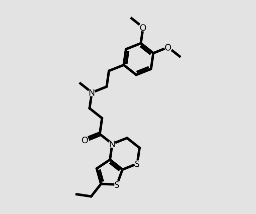 CCc1cc2c(s1)SCCN2C(=O)CCN(C)CCc1ccc(OC)c(OC)c1